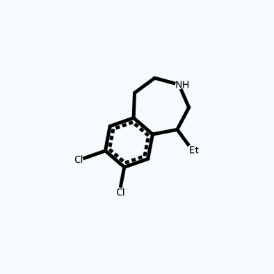 CCC1CNCCc2cc(Cl)c(Cl)cc21